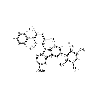 COc1ccc2c(c1)c1cc(-c3c(C)c(C)cc(C)c3C)ccc1n2-c1c(C)cc(C)c(-c2ncncn2)c1C